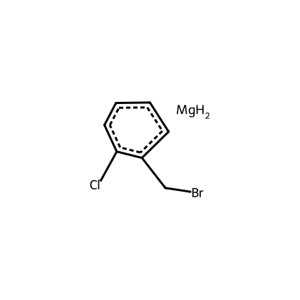 Clc1ccccc1CBr.[MgH2]